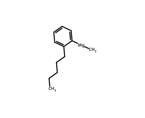 CCCCCc1cccc[c]1[Mg][CH3]